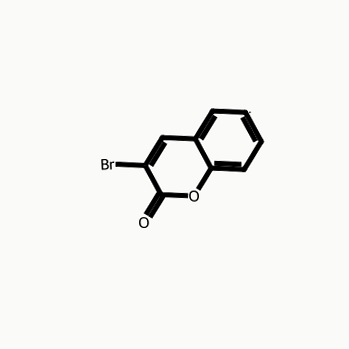 O=c1oc2cc[c]cc2cc1Br